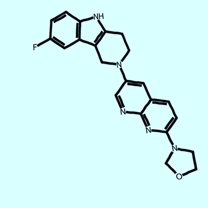 Fc1ccc2[nH]c3c(c2c1)CN(c1cnc2nc(N4CCOC4)ccc2c1)CC3